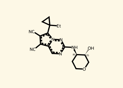 CCC1(c2c(C#N)c(C#N)c3cnc(N[C@@H]4CCOC[C@H]4O)nn23)CC1